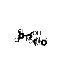 C[C@@H]1CCCN(c2ncc(Oc3cc(CO)cc(-c4cc(Cl)cc(Cl)c4)n3)cn2)C1